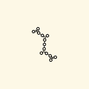 c1ccc(N(c2ccc(-c3ccc(-c4ccc(N(c5ccccc5)c5ccc(-c6ccc7c(c6)c6ccccc6n7-c6ccccc6)cc5)cc4)cc3)cc2)c2ccc(-c3ccc4c(c3)c3ccccc3n4-c3ccccc3)cc2)cc1